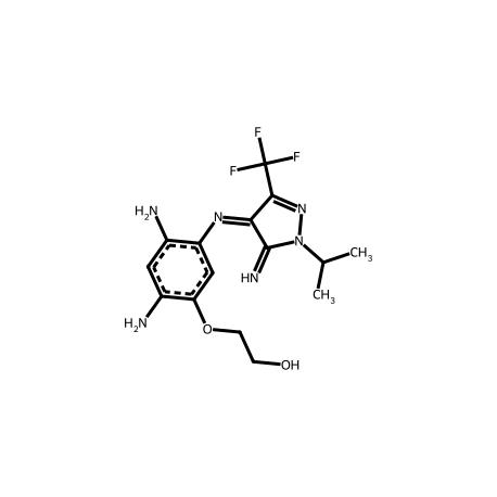 CC(C)N1N=C(C(F)(F)F)C(=Nc2cc(OCCO)c(N)cc2N)C1=N